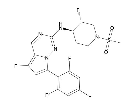 CS(=O)(=O)N1CC[C@@H](Nc2ncc3c(F)cc(-c4c(F)cc(F)cc4F)n3n2)[C@H](F)C1